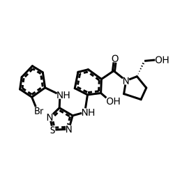 O=C(c1cccc(Nc2nsnc2Nc2ccccc2Br)c1O)N1CCC[C@H]1CO